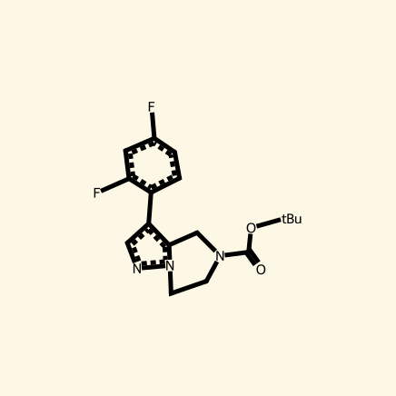 CC(C)(C)OC(=O)N1CCn2ncc(-c3ccc(F)cc3F)c2C1